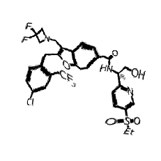 CCS(=O)(=O)c1ccc([C@H](CO)NC(=O)c2ccc3c(CN4CC(F)(F)C4)c(Cc4ccc(Cl)cc4C(F)(F)F)oc3c2)nc1